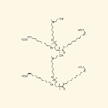 CCCCCCCC/C=C\CCCCCCCCOC(=O)C(C)(C)CC(OCCCCCCCC/C=C\CCCCCCCC)O[Si](C)(C)OCCCCCCN(C)CCO.CCCCCCCC/C=C\CCCCCCCCOC(=O)C(C)(C)CC(OCCCCCCCC/C=C\CCCCCCCC)O[Si](C)(C)OCCCCCCN(C)CCO